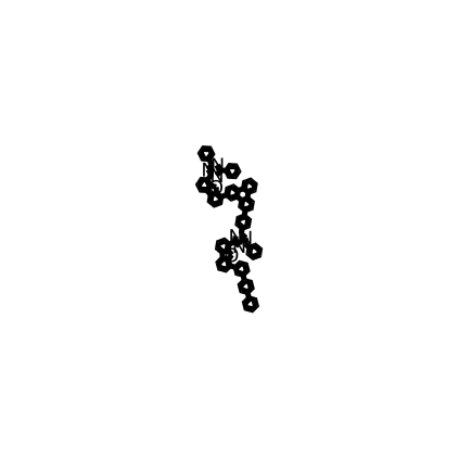 c1ccc(-c2ccc(-c3cccc(-c4cccc5c4oc4c(-c6nc(-c7ccccc7)nc(-c7ccc(-c8ccc9c%10ccccc%10c%10ccc(-c%11cccc%12c%11oc%11c(-c%13nc(-c%14ccccc%14)nc(-c%14ccccc%14)n%13)cccc%11%12)cc%10c9c8)cc7)n6)cccc45)c3)cc2)cc1